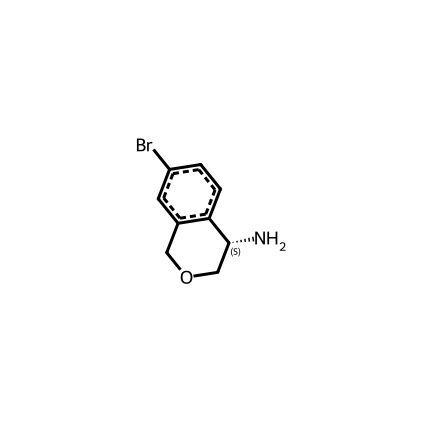 N[C@@H]1COCc2cc(Br)ccc21